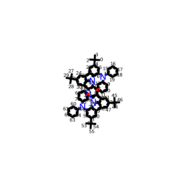 CC(C)(C)c1cc(N(c2ccccc2)c2ccccc2)c2c(c1)c1cc(C(C)(C)C)cc3c4nc5c(cc4n2c13)c1cc(C(C)(C)C)cc2c3cc(C(C)(C)C)cc(N(c4ccccc4)c4ccccc4)c3n5c12